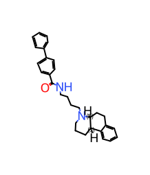 O=C(NCCCCN1CCC[C@H]2c3ccccc3CC[C@H]21)c1ccc(-c2ccccc2)cc1